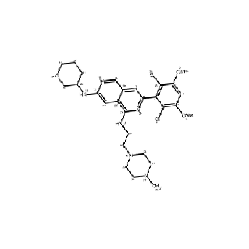 COc1cc(OC)c(Cl)c(-c2cc3cnc(NC4CCCOC4)cc3c(NCCN3CCN(C)CC3)n2)c1Cl